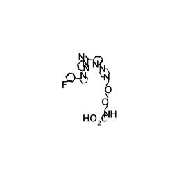 O=C(O)NCCOCCOCCN1CCN(c2cccc(-c3cnc4ccc(N5CCCC5c5cccc(F)c5)nn34)n2)CC1